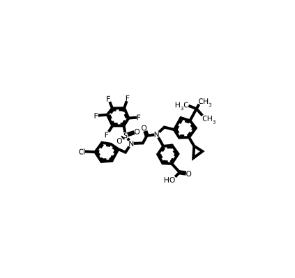 CC(C)(C)c1cc(CN(C(=O)CN(Cc2ccc(Cl)cc2)S(=O)(=O)c2c(F)c(F)c(F)c(F)c2F)c2ccc(C(=O)O)cc2)cc(C2CC2)c1